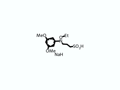 CCON(CCCS(=O)(=O)O)c1cc(OC)cc(OC)c1.[NaH]